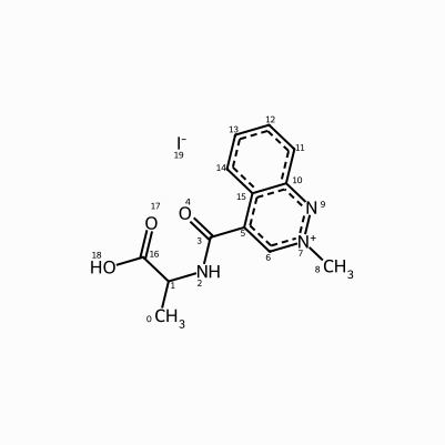 CC(NC(=O)c1c[n+](C)nc2ccccc12)C(=O)O.[I-]